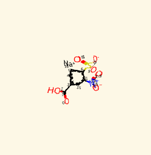 O=C(O)c1ccc(S(=O)(=O)[O-])c([N+](=O)[O-])c1.[Na+]